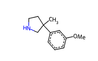 COc1cccc(C2(C)CCNC2)c1